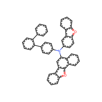 c1ccc(-c2ccccc2-c2ccc(N(c3ccc4oc5ccccc5c4c3)c3cc4c5ccccc5oc4c4ccccc34)cc2)cc1